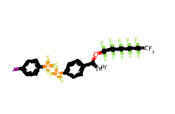 CCCC(OC(F)(F)C(F)(F)C(F)(F)C(F)(F)C(F)(F)C(F)(F)F)c1ccc(P2(=S)SP(=S)(c3ccc(I)cc3)S2)cc1